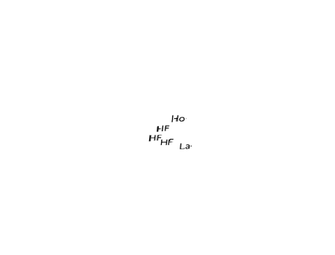 F.F.F.[Ho].[La]